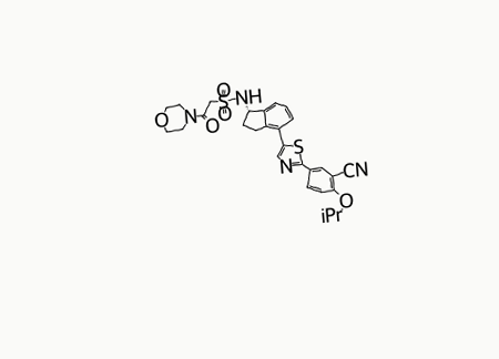 CC(C)Oc1ccc(-c2ncc(-c3cccc4c3CC[C@@H]4NS(=O)(=O)CC(=O)N3CCOCC3)s2)cc1C#N